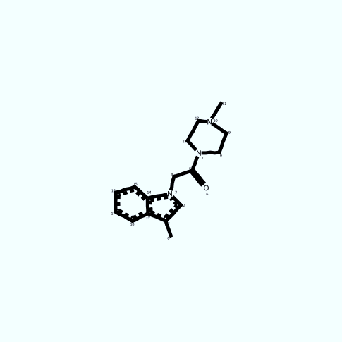 Cc1cn(CC(=O)N2CCN(C)CC2)c2ccccc12